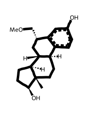 COC[C@H]1C[C@@H]2[C@H](CC[C@]3(C)[C@@H](O)CC[C@@H]23)c2ccc(O)cc21